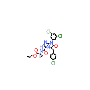 C=CCOC(=O)C1(NC(=O)c2cnc3n2[C@](C)(Cc2ccc(Cl)cc2)C(=O)N3c2cc(Cl)cc(Cl)c2)CC1